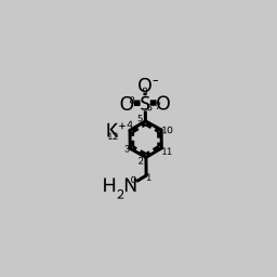 NCc1ccc(S(=O)(=O)[O-])cc1.[K+]